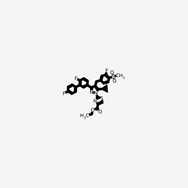 CCOC(=O)c1csc(-n2nc(-c3ccc(F)c(-c4ccc(F)cc4)c3)c(Cc3ccc(S(C)(=O)=O)c(F)c3)c2C2CC2)n1